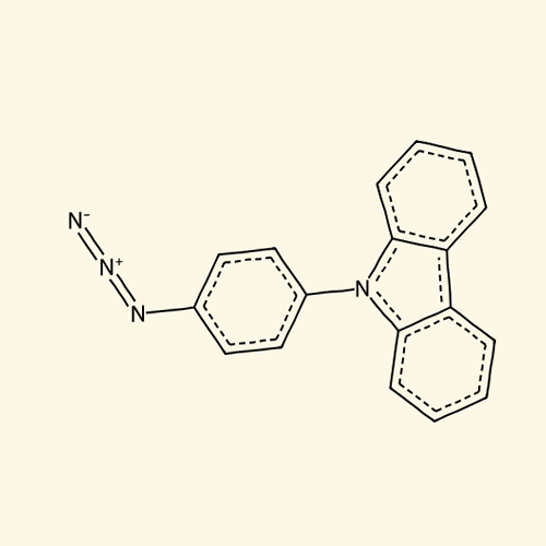 [N-]=[N+]=Nc1ccc(-n2c3ccccc3c3ccccc32)cc1